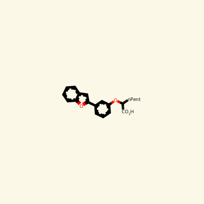 CCCCCC(Oc1cccc(-c2cc3ccccc3o2)c1)C(=O)O